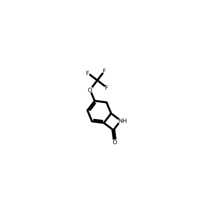 O=C1NC2CC(OC(F)(F)F)=CC=C12